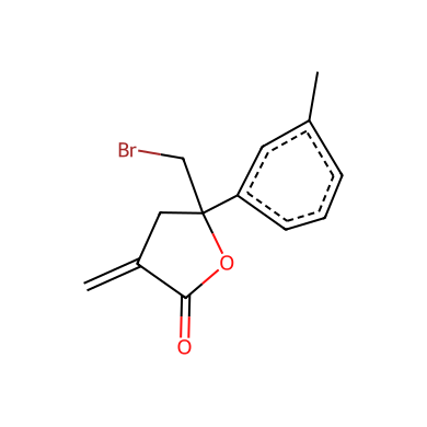 C=C1CC(CBr)(c2cccc(C)c2)OC1=O